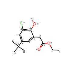 CCOC(=O)Cc1cc(C(C)(C)C)cc(F)c1OC